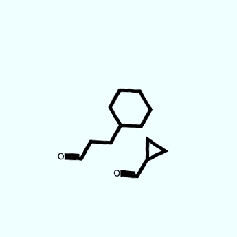 O=CC1CC1.O=CCCC1CCCCC1